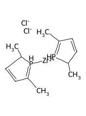 CC1=[PH]([Zr+2][PH]2=C(C)C=CC2C)C(C)C=C1.[Cl-].[Cl-]